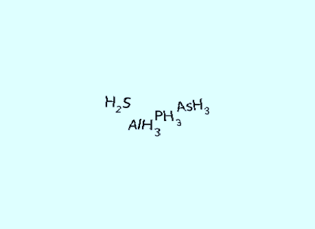 P.S.[AlH3].[AsH3]